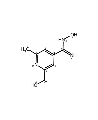 Cc1cc(C(=N)NO)cc(CO)n1